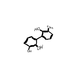 Oc1cccc(-c2cccc(O)c2O)c1O